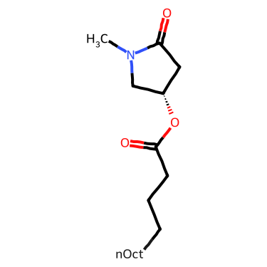 CCCCCCCCCCCC(=O)O[C@H]1CC(=O)N(C)C1